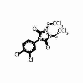 O=c1n(-c2ccc(Cl)c(Cl)c2)c(=O)n(SC(Cl)(Cl)Cl)n1SC(Cl)(Cl)Cl